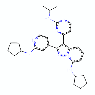 CC(C)Nc1nccc(-c2c(-c3ccnc(NC4CCCC4)c3)nn3c(NC4CCCC4)cccc23)n1